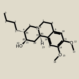 CCCC[C@@H]1CN2CCc3cc(OC)c(OC)cc3[C@H]2C[C@H]1O